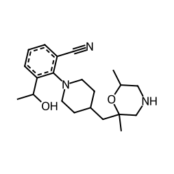 CC1CNCC(C)(CC2CCN(c3c(C#N)cccc3C(C)O)CC2)O1